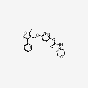 Cc1onc(-c2ccccc2)c1COc1ccc(OC(=O)NN2CCOCC2)nn1